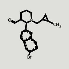 CC1CC1CN1CCCC(C=O)C1c1ccc2cc(Br)ccc2c1